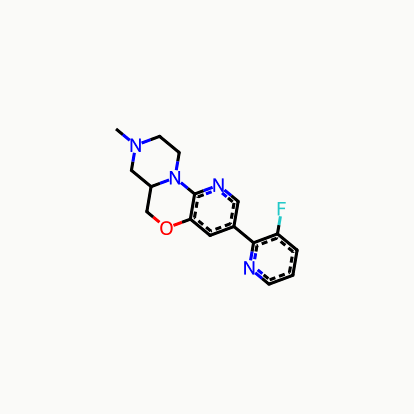 CN1CCN2c3ncc(-c4ncccc4F)cc3OCC2C1